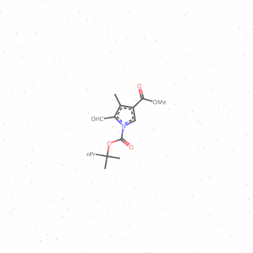 CCCC(C)(C)OC(=O)n1cc(C(=O)OC)c(C)c1C=O